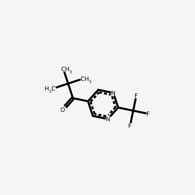 CC(C)(C)C(=O)c1cnc(C(F)(F)F)nc1